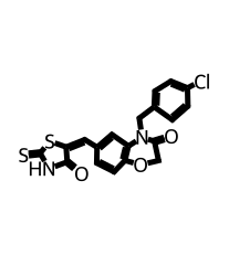 O=C1NC(=S)S/C1=C/c1ccc2c(c1)N(Cc1ccc(Cl)cc1)C(=O)CO2